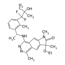 CCOC1(C)C(=O)N(C)c2cc3c(N[C@H](C)c4cccc(C(F)(F)C(C)(C)O)c4C)nnc(C)c3cc21